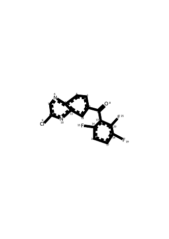 O=C(c1ccc2ncc(Cl)nc2c1)c1c(F)ccc(F)c1F